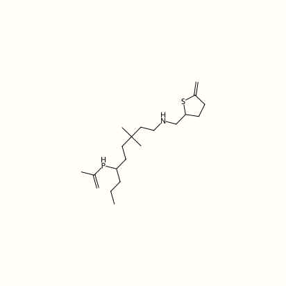 C=C(C)PC(CCC)CCC(C)(C)CCNCC1CCC(=C)S1